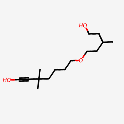 CC(CCO)CCOCCCCC(C)(C)C#CO